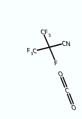 N#CC(F)(C(F)(F)F)C(F)(F)F.O=C=O